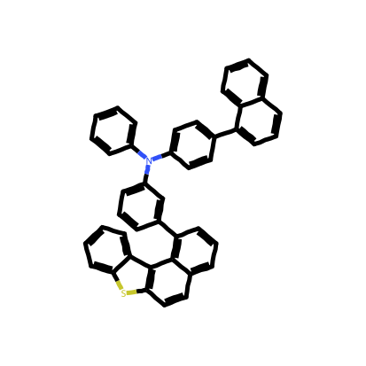 c1ccc(N(c2ccc(-c3cccc4ccccc34)cc2)c2cccc(-c3cccc4ccc5sc6ccccc6c5c34)c2)cc1